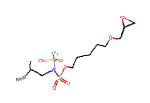 CNC(C)CN(S(=O)(=O)OCCCCCOCC1CO1)S(=O)(=O)C(F)(F)F